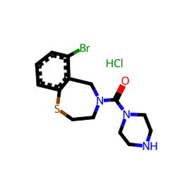 Cl.O=C(N1CCNCC1)N1CCSc2cccc(Br)c2C1